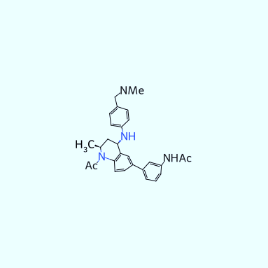 CNCc1ccc(N[C@@H]2C[C@H](C)N(C(C)=O)c3ccc(-c4cccc(NC(C)=O)c4)cc32)cc1